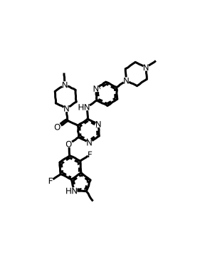 Cc1cc2c(F)c(Oc3ncnc(Nc4ccc(N5CCN(C)CC5)cn4)c3C(=O)N3CCN(C)CC3)cc(F)c2[nH]1